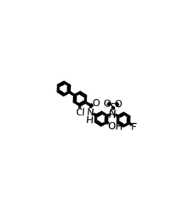 O=C(Nc1ccc(O)c(N(c2ccc(F)cc2)[SH](=O)=O)c1)c1ccc(-c2ccccc2)cc1Cl